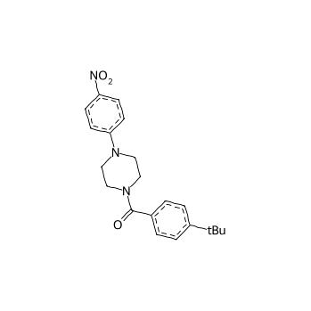 CC(C)(C)c1ccc(C(=O)N2CCN(c3ccc([N+](=O)[O-])cc3)CC2)cc1